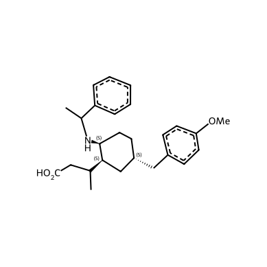 COc1ccc(C[C@H]2CC[C@H](NC(C)c3ccccc3)[C@H](C(C)CC(=O)O)C2)cc1